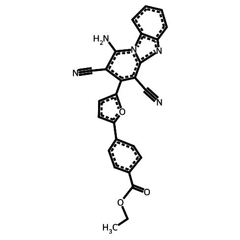 CCOC(=O)c1ccc(-c2ccc(-c3c(C#N)c(N)n4c(nc5ccccc54)c3C#N)o2)cc1